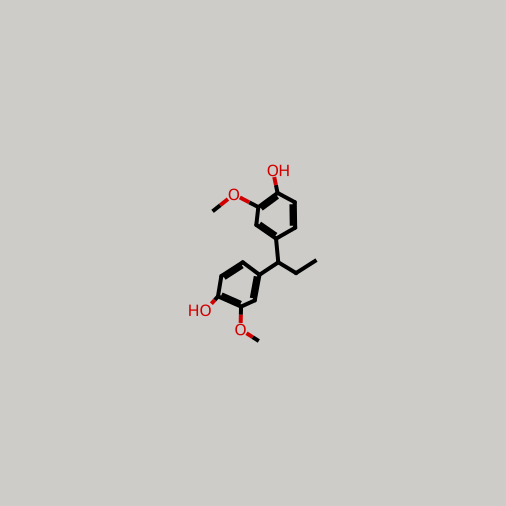 CCC(c1ccc(O)c(OC)c1)c1ccc(O)c(OC)c1